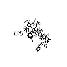 Cc1ccccc1C[C@H](NC(=O)[C@H](CCC(=O)O)NC(=O)[C@H](CC(=O)O)NC(=O)CCC(=O)O)C(=O)N[C@H](C(=O)N[C@@H](CC(C)C)C(=O)N[C@H](C=O)CSCc1ccccc1)C(C)(C)C